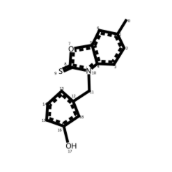 Cc1ccc2c(c1)oc(=S)n2Cc1cccc(O)c1